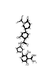 N=C(N)c1c(Cl)cnc(N2CC[C@@H](NC(=O)c3ccc(-c4ccc(=O)n(C(F)F)c4)cc3Cl)C2)c1O